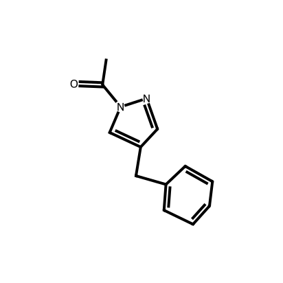 CC(=O)n1cc(Cc2ccccc2)cn1